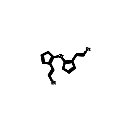 CCC=CC1=[C]([Zr][C]2=C(C=CCC)C=CC2)CC=C1